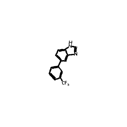 FC(F)(F)c1cccc(-c2ccc3[nH][c]nc3c2)c1